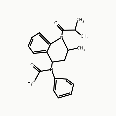 CC(=O)N(c1ccccc1)C1CC(C)N(C(=O)C(C)C)c2ccccc21